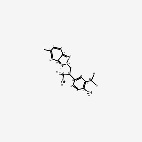 Cc1ccc2nn(CC(C(=O)O)c3ccc(O)c(C(C)C)c3)nc2c1